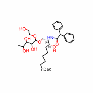 CCCCCCCCCCCCCCC[C@@H](O)[C@H](COC(OCCO)C(O)C(O)C(C)O)NC(=O)C(c1ccccc1)c1ccccc1